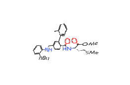 CCCCc1ccccc1NCc1ccc(C(=O)N[C@@H](CCSC)C(=O)OC)c(-c2ccccc2C)c1